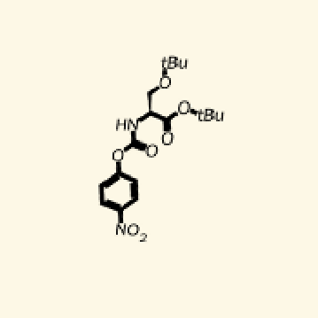 CC(C)(C)OC[C@H](NC(=O)Oc1ccc([N+](=O)[O-])cc1)C(=O)OC(C)(C)C